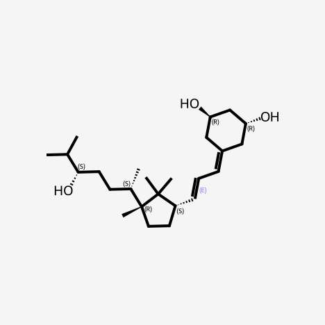 CC(C)[C@@H](O)CC[C@H](C)[C@@]1(C)CC[C@@H](/C=C/C=C2C[C@@H](O)C[C@H](O)C2)C1(C)C